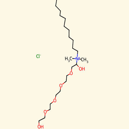 CCCCCCCCCCCC[N+](C)(C)C(O)COCCOCCOCCOCCO.[Cl-]